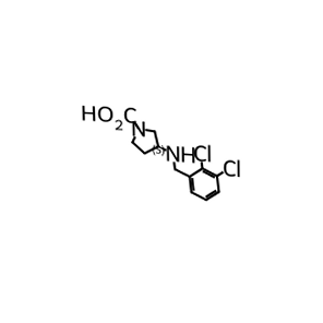 O=C(O)N1CC[C@H](NCc2cccc(Cl)c2Cl)C1